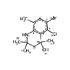 Cc1cc(Br)c(Cl)c2c1NC(C)(C)CC2(C)O